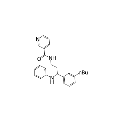 CCCCc1cccc(C(CCNC(=O)c2cccnc2)Nc2ccccc2)c1